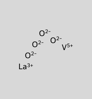 [La+3].[O-2].[O-2].[O-2].[O-2].[V+5]